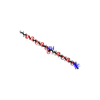 CCCCOCCOCCOCCOCCONC(=O)CCCCOCCOCCOCCON=[N+]=[N-]